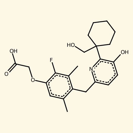 Cc1cc(OCC(=O)O)c(F)c(C)c1Cc1ccc(O)c(C2(CO)CCCCC2)n1